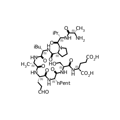 CCCCC[C@H](NC(=O)[C@H](CCC=O)NC(=O)[C@H](C)NC(=O)[C@@H](NC(=O)[C@@H]1CCCN1C(=O)[C@@H](NC(=O)[C@H](C)N)C(C)C)C(C)CC)C(=O)N[C@@H](CO)C(=O)N[C@@H](CCC(=O)O)C(=O)O